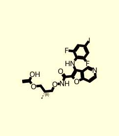 C=C(O)OC[C@@H](C)CONC(=O)c1oc2ccncc2c1Nc1c(F)cc(I)cc1F